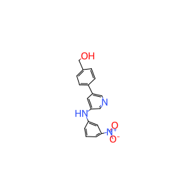 O=[N+]([O-])c1cccc(Nc2cncc(-c3ccc(CO)cc3)c2)c1